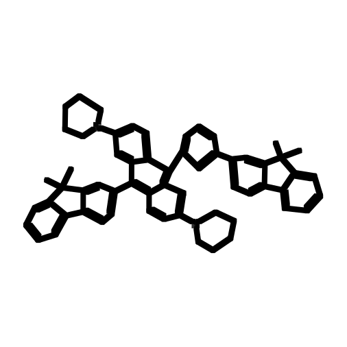 CC1(C)c2ccccc2-c2ccc(-c3cccc(-c4c5ccc(N6CCCCC6)cc5c(-c5ccc6c(c5)C(C)(C)c5ccccc5-6)c5ccc(N6CCCCC6)cc45)c3)cc21